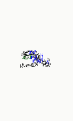 COCc1nc(Nc2ccc3c(c2)N(C)CCC3)c2ccc(-c3ncccc3Cl)nc2n1